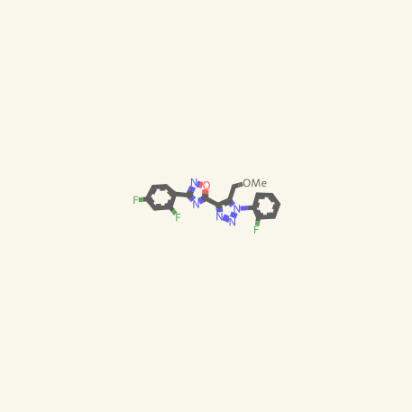 COCc1c(-c2nc(-c3ccc(F)cc3F)no2)nnn1-c1ccccc1F